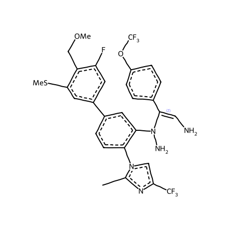 COCc1c(F)cc(-c2ccc(-n3cc(C(F)(F)F)nc3C)c(N(N)/C(=C\N)c3ccc(OC(F)(F)F)cc3)c2)cc1SC